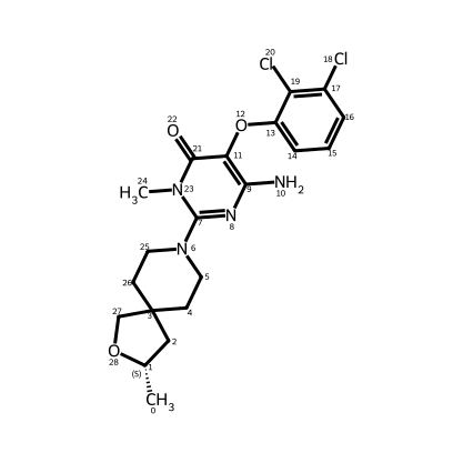 C[C@H]1CC2(CCN(c3nc(N)c(Oc4cccc(Cl)c4Cl)c(=O)n3C)CC2)CO1